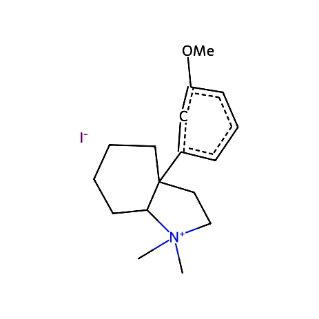 COc1cccc(C23CCCCC2[N+](C)(C)CC3)c1.[I-]